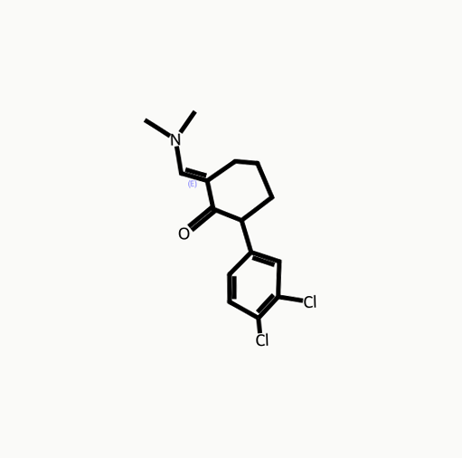 CN(C)/C=C1\CCCC(c2ccc(Cl)c(Cl)c2)C1=O